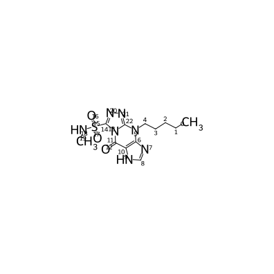 CCCCCn1c2nc[nH]c2c(=O)n2c(S(=O)(=O)NC)nnc12